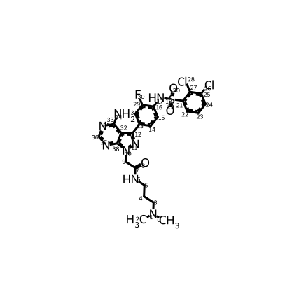 CN(C)CCCNC(=O)Cn1nc(-c2ccc(NS(=O)(=O)c3cccc(Cl)c3Cl)c(F)c2)c2c(N)ncnc21